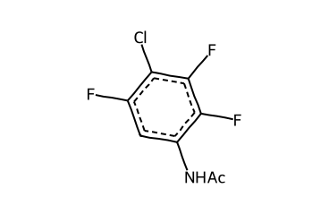 CC(=O)Nc1cc(F)c(Cl)c(F)c1F